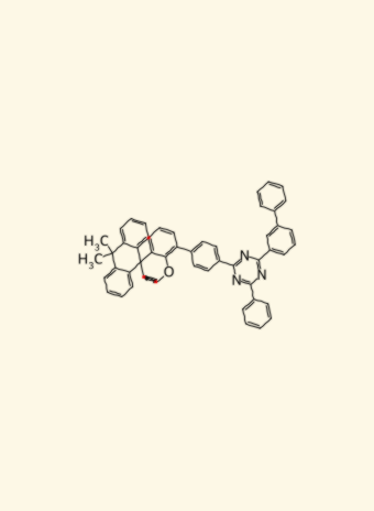 CC1(C)c2ccccc2C2(c3ccccc3Oc3c(-c4ccc(-c5nc(-c6ccccc6)nc(-c6cccc(-c7ccccc7)c6)n5)cc4)cccc32)c2ccccc21